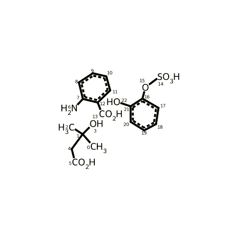 CC(C)(O)CC(=O)O.Nc1ccccc1C(=O)O.O=S(=O)(O)Oc1ccccc1O